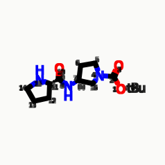 CC(C)(C)OC(=O)N1CC[C@H](NC(=O)[C@@H]2CCCN2)C1